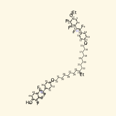 CCOc1ccc(/C(F)=C(\F)c2ccc(OCCCCCCCCC(CC)CCCCCCCCOc3ccc(/C(F)=C(\F)c4ccc(O)c(F)c4F)cc3)cc2)c(F)c1F